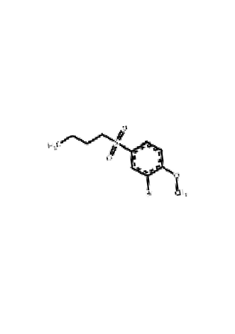 CCCCS(=O)(=O)c1ccc(OC)c(Br)c1